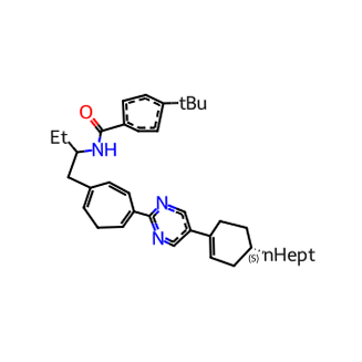 CCCCCCC[C@@H]1CC=C(c2cnc(C3=CCC=C(CC(CC)NC(=O)c4ccc(C(C)(C)C)cc4)C=C3)nc2)CC1